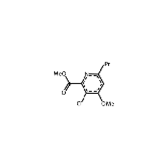 COC(=O)c1nc(C(C)C)cc(OC)c1Cl